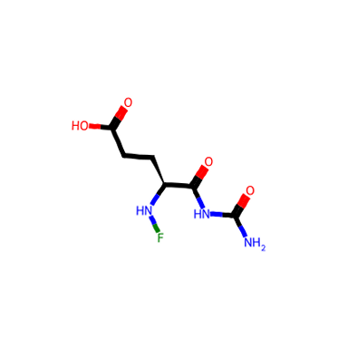 NC(=O)NC(=O)[C@H](CCC(=O)O)NF